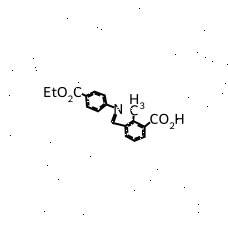 CCOC(=O)c1ccc(/N=C/c2cccc(C(=O)O)c2C)cc1